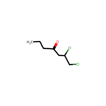 CCCC(=O)CC(Cl)CCl